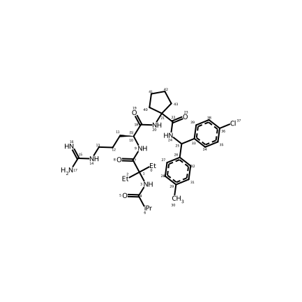 CCC(CC)(NC(=O)C(C)C)C(=O)N[C@@H](CCCNC(=N)N)C(=O)NC1(C(=O)NC(c2ccc(C)cc2)c2ccc(Cl)cc2)CCCC1